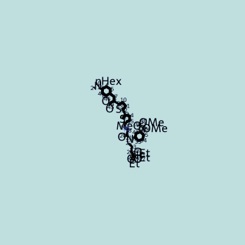 CCCCCCN(C)c1ccc2cc(-c3ccc(-c4ccc(/C=C/C(=O)N(CCC[Si](OCC)(OCC)OCC)c5cccc([Si](OC)(OC)OC)c5)s4)s3)c(=O)oc2c1